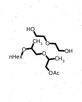 CCCCCCOC(C)COC(C)COC(C)=O.OCCOCCO